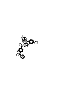 Cc1cc(C(=O)N[C@@H](Cn2ncnn2)c2nc3cc(Cl)ccc3[nH]2)ccc1C(=O)N1CCCC1